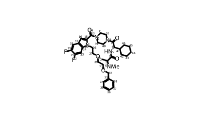 CNC(C)C(=O)N[C@H](C(=O)N1CCN(C(=O)c2cc3cc(F)c(F)cc3n2CCOCCOCc2ccccc2)CC1)C1CCCCC1